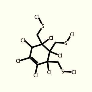 ClSCC1(Cl)C(Cl)=C(Cl)C(Cl)C(Cl)(CSCl)C1(Cl)CSCl